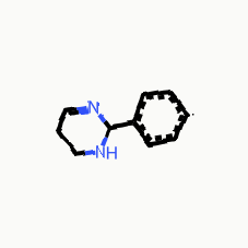 [c]1ccc(C2N=CCCN2)cc1